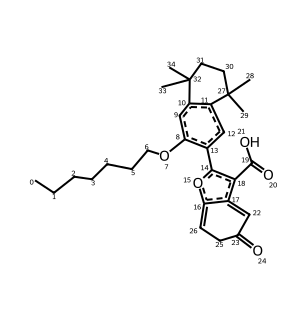 CCCCCCCOc1cc2c(cc1-c1oc3c(c1C(=O)O)=CC(=O)CC=3)C(C)(C)CCC2(C)C